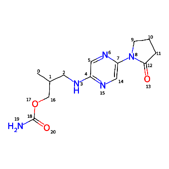 CC(CNc1cnc(N2CCCC2=O)cn1)COC(N)=O